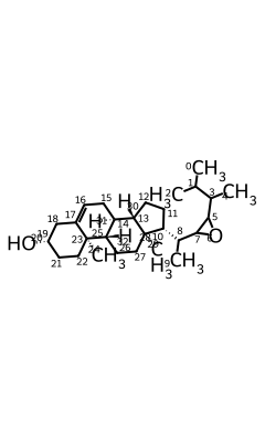 CC(C)C(C)C1OC1C(C)[C@H]1CC[C@H]2[C@@H]3CC=C4C[C@@H](O)CC[C@]4(C)[C@H]3CC[C@]12C